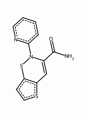 NC(=O)C1=Cc2sccc2SN1c1ccccn1